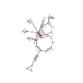 C=C1/C=C(C#CC2CC2)\C=C/CCC2(CCC(OC)CC2)C12CC(=O)N(C)C(N)=N2